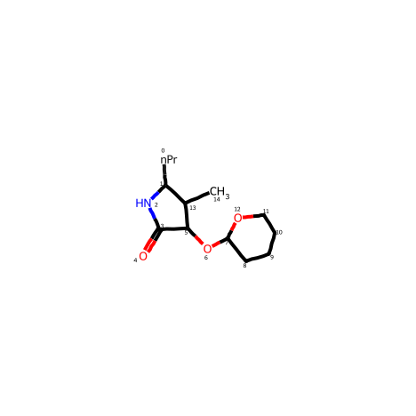 CCCC1NC(=O)C(OC2CCCCO2)C1C